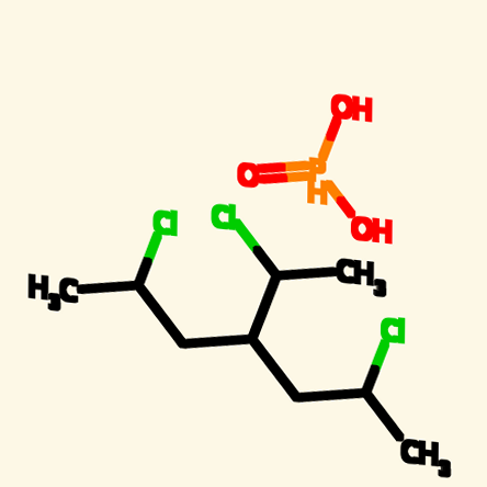 CC(Cl)CC(CC(C)Cl)C(C)Cl.O=[PH](O)O